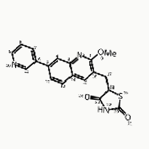 COc1nc2cc(-c3cccnc3)ccc2cc1CC1SC(=O)NC1=O